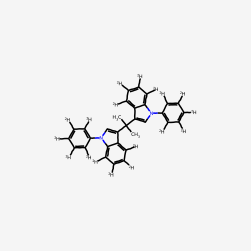 [2H]c1c([2H])c([2H])c(-n2cc(C(C)(C)c3cn(-c4c([2H])c([2H])c([2H])c([2H])c4[2H])c4c([2H])c([2H])c([2H])c([2H])c34)c3c([2H])c([2H])c([2H])c([2H])c32)c([2H])c1[2H]